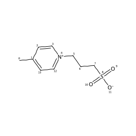 Cc1cc[n+](CCCS(=O)(=O)[O-])cc1